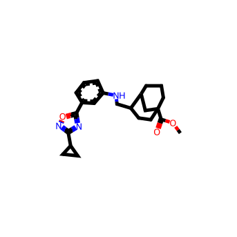 COC(=O)C12CCCC(C1)C(CNc1cccc(-c3nc(C4CC4)no3)c1)CC2